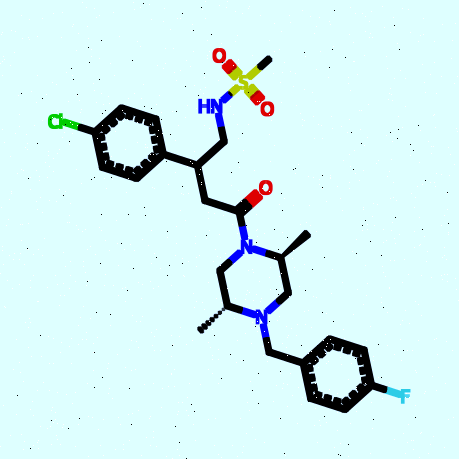 C[C@@H]1CN(C(=O)CC(CNS(C)(=O)=O)c2ccc(Cl)cc2)[C@@H](C)CN1Cc1ccc(F)cc1